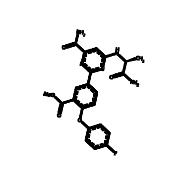 COC(=O)c1cc(-c2nc(N[C@@H](C)C(N)=O)cc(C(N)=O)n2)ccc1Oc1ccc(F)cc1